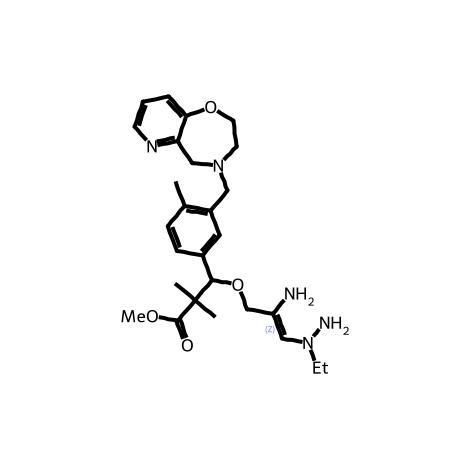 CCN(N)/C=C(\N)COC(c1ccc(C)c(CN2CCOc3cccnc3C2)c1)C(C)(C)C(=O)OC